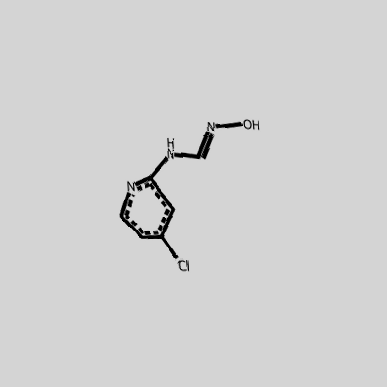 ON=CNc1cc(Cl)ccn1